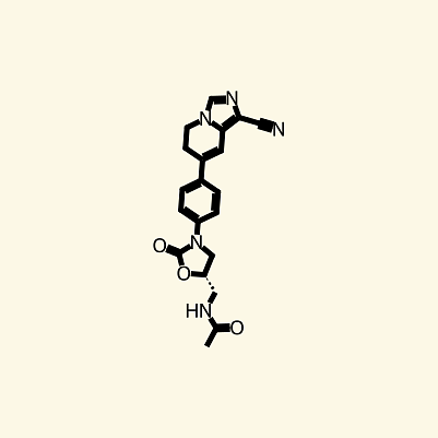 CC(=O)NC[C@H]1CN(c2ccc(C3=Cc4c(C#N)ncn4CC3)cc2)C(=O)O1